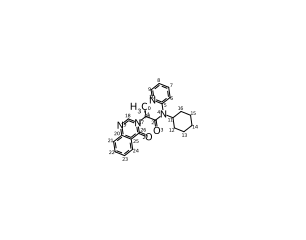 C[C@@H](C(=O)N(c1ccccn1)C1CCCCC1)n1cnc2ccccc2c1=O